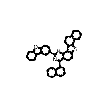 c1ccc2c(-c3nc(-c4ccc5oc6ccccc6c5c4)nc4c3ccc3sc5c6ccccc6ccc5c34)cccc2c1